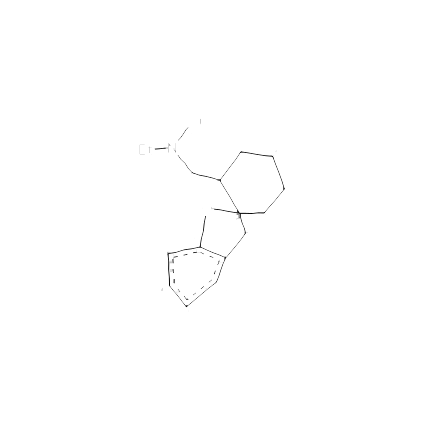 CCN(CC)CC1CCCCC12Cc1ccccc1O2